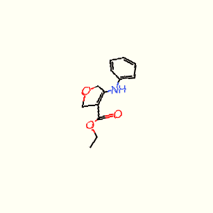 CCOC(=O)C1=C(Nc2ccccc2)COC1